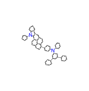 c1ccc(-c2cc(-c3ccccc3)cc(N(c3ccccc3)c3ccc(-c4ccc5ccc6c7c(ccc4c57)cc4c5ccccc5n(-c5ccccc5)c46)cc3)c2)cc1